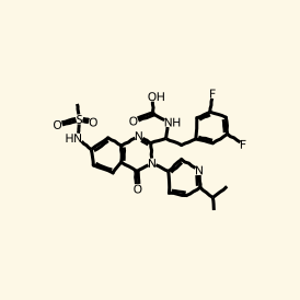 CC(C)c1ccc(-n2c(C(Cc3cc(F)cc(F)c3)NC(=O)O)nc3cc(NS(C)(=O)=O)ccc3c2=O)cn1